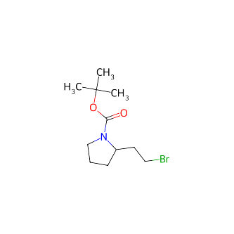 CC(C)(C)OC(=O)N1CCCC1CCBr